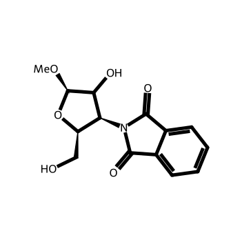 CO[C@@H]1O[C@H](CO)[C@H](N2C(=O)c3ccccc3C2=O)C1O